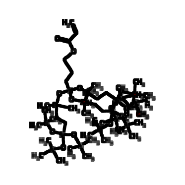 C=CC(=O)OCCC[Si](O[Si](C)(C)CC[Si](O[Si](C)(C)C)(O[Si](C)(C)C)O[Si](C)(C)C)(O[Si](C)(C)CC[Si](O[Si](C)(C)C)(O[Si](C)(C)C)O[Si](C)(C)C)O[Si](C)(C)CC[Si](O[Si](C)(C)C)(O[Si](C)(C)C)O[Si](C)(C)C